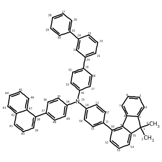 CC1(C)c2ccccc2-c2c(-c3ccc(N(c4ccc(-c5cccc(-c6ccccc6)c5)cc4)c4ccc(-c5cccc6ccccc56)cc4)cc3)cccc21